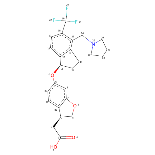 O=C(O)C[C@@H]1COc2cc(O[C@@H]3CCc4c3ccc(C(F)(F)F)c4CN3CCCC3)ccc21